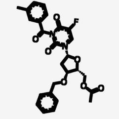 CC(=O)OC[C@H]1O[C@@H](n2cc(F)c(=O)n(C(=O)c3cccc(C)c3)c2=O)C[C@@H]1OCc1ccccc1